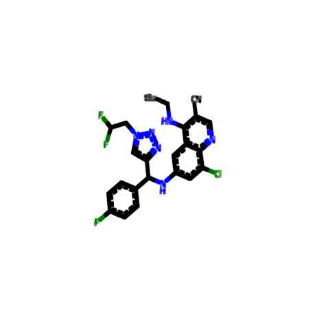 CC(C)(C)CNc1c(C#N)cnc2c(Cl)cc(NC(c3ccc(F)cc3)c3cn(CC(F)F)nn3)cc12